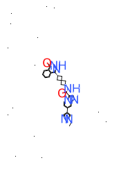 CCn1cc(-c2ccn3c(C(=O)N[C@H]4CC5(C4)C[C@H](c4n[nH]c(=O)c6ccccc64)C5)cnc3c2)cn1